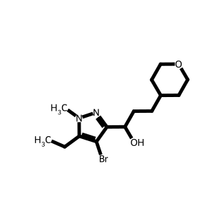 CCc1c(Br)c(C(O)CCC2CCOCC2)nn1C